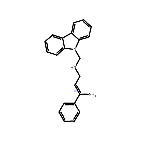 N/C(=C\CNCn1c2ccccc2c2ccccc21)c1ccccc1